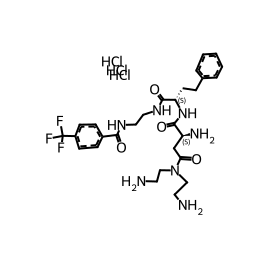 Cl.Cl.Cl.NCCN(CCN)C(=O)C[C@H](N)C(=O)N[C@@H](CCc1ccccc1)C(=O)NCCNC(=O)c1ccc(C(F)(F)F)cc1